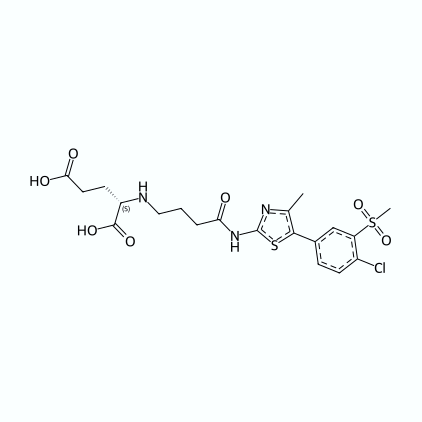 Cc1nc(NC(=O)CCCN[C@@H](CCC(=O)O)C(=O)O)sc1-c1ccc(Cl)c(S(C)(=O)=O)c1